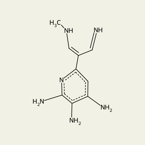 CN/C=C(\C=N)c1cc(N)c(N)c(N)n1